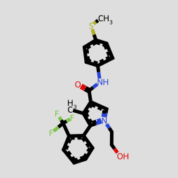 CSc1ccc(NC(=O)c2cn(CCO)c(-c3ccccc3C(F)(F)F)c2C)cc1